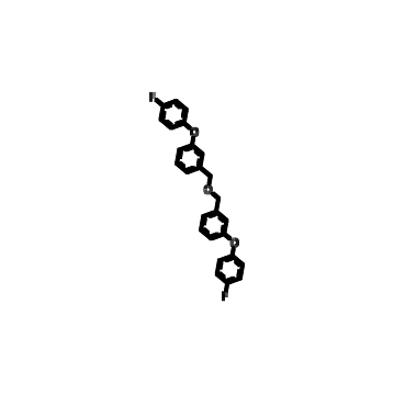 Fc1ccc(Oc2cccc(COCc3cccc(Oc4ccc(F)cc4)c3)c2)cc1